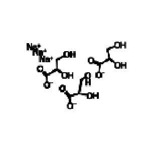 O=C([O-])C(O)CO.O=C([O-])C(O)CO.O=C([O-])C(O)CO.[Na+].[Na+].[Na+]